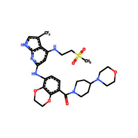 CS(=O)(=O)CCNc1cc(Nc2ccc(C(=O)N3CCC(N4CCOCC4)CC3)c3c2OCCO3)nc2[nH]cc(C(F)(F)F)c12